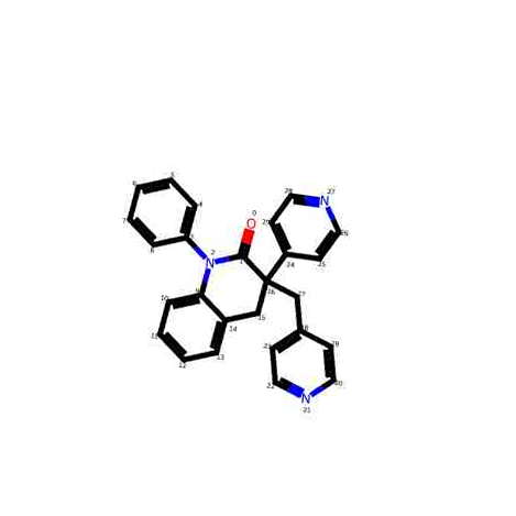 O=C1N(c2ccccc2)c2ccccc2CC1(Cc1ccncc1)c1ccncc1